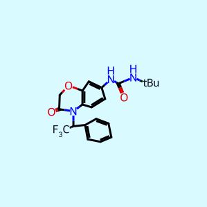 CC(C)(C)NC(=O)Nc1ccc2c(c1)OCC(=O)N2C(c1ccccc1)C(F)(F)F